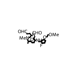 CNC(=O)C(CCC=O)N(C=O)C/C=C(/C=C\C=C(C)C)NCc1cc(OCCOC)ccc1F